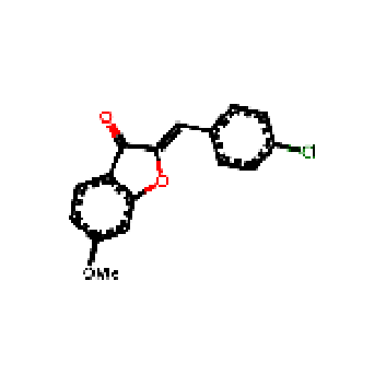 COc1ccc2c(c1)OC(=Cc1ccc(Cl)cc1)C2=O